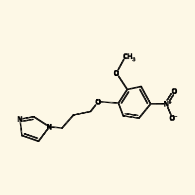 COc1cc([N+](=O)[O-])ccc1OCCCn1ccnc1